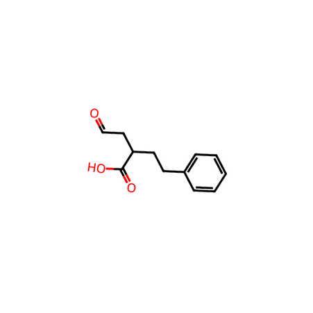 O=CCC(CCc1ccccc1)C(=O)O